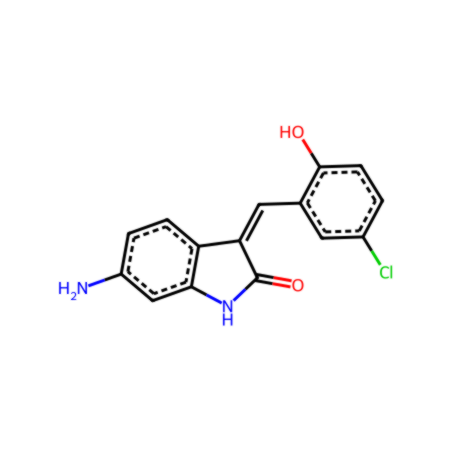 Nc1ccc2c(c1)NC(=O)C2=Cc1cc(Cl)ccc1O